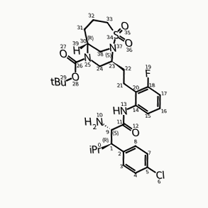 CC(C)[C@H](c1ccc(Cl)cc1)[C@H](N)C(=O)Nc1cccc(F)c1CC[C@H]1CN(C(=O)OC(C)(C)C)[C@@H]2CCCS(=O)(=O)N1C2